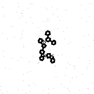 C1=CCCC(C2=CC(c3ccccc3)=CC(n3c4ccccc4c4cc(-c5ccc6c7ccccc7n(-c7ccc8sc9ccccc9c8c7)c6c5)ccc43)C2)=C1